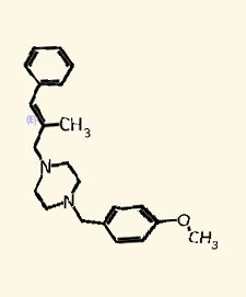 COc1ccc(CN2CCN(C/C(C)=C/c3ccccc3)CC2)cc1